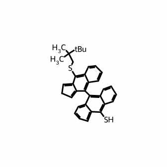 CC(C)(C)C(C)(C)CSc1c2c(c(-c3c4ccccc4c(S)c4ccccc34)c3ccccc13)=CCC=2